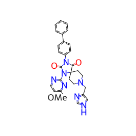 COc1ccnc(N2C(=O)N(c3ccc(-c4ccccc4)cc3)C(=O)C23CCN(Cc2c[nH]cn2)CC3)n1